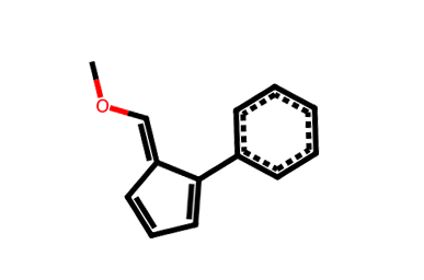 COC=C1C=CC=C1c1ccccc1